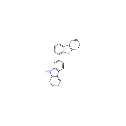 C1=CCC2Nc3cc(-c4cccc5c6c(sc45)CCC=C6)ccc3C2=C1